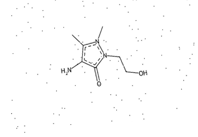 Cc1c(N)c(=O)n(CCO)n1C